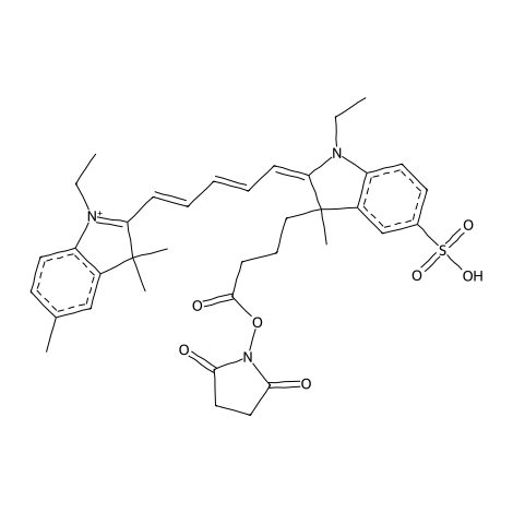 CCN1/C(=C/C=C/C=C/C2=[N+](CC)c3ccc(C)cc3C2(C)C)C(C)(CCCC(=O)ON2C(=O)CCC2=O)c2cc(S(=O)(=O)O)ccc21